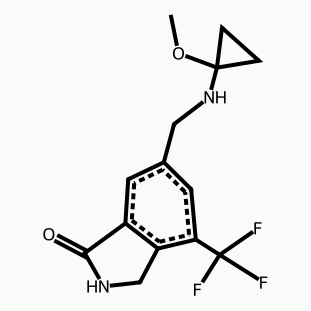 COC1(NCc2cc3c(c(C(F)(F)F)c2)CNC3=O)CC1